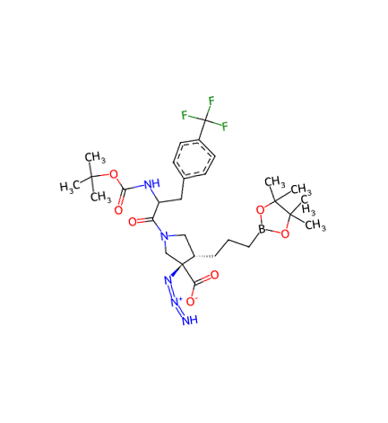 CC(C)(C)OC(=O)NC(Cc1ccc(C(F)(F)F)cc1)C(=O)N1C[C@H](CCCB2OC(C)(C)C(C)(C)O2)[C@](N=[N+]=N)(C(=O)[O-])C1